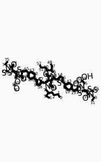 CCCCC(CC)CN1C(=O)C2=C(c3ccc(-c4ccc(/C=c5/s/c(=C6/SC(=S)N(CC)C6=O)n(CC(=O)O)c5=O)cc4)s3)N(CC(CC)CCCC)C(=O)C2=C1c1ccc(-c2ccc(/C=c3/s/c(=C4/SC(=S)N(CC)C4=O)n(COC=O)c3=O)cc2)s1